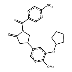 COc1ccc(C2CC(=O)N(C(=O)c3ccc([N+](=O)[O-])cc3)C2)cc1OC1CCCC1